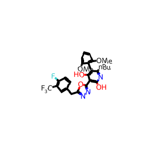 CCCCc1nc(O)c(-c2nnc(Cc3ccc(F)c(C(F)(F)F)c3)o2)c(O)c1-c1c(OC)cccc1OC